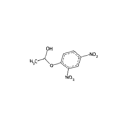 CC(O)Oc1ccc([N+](=O)[O-])cc1[N+](=O)[O-]